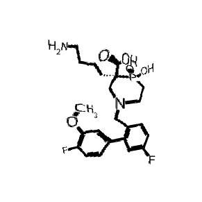 COc1cc(-c2cc(F)ccc2CN2CCP(=O)(O)[C@](CCCCN)(C(=O)O)C2)ccc1F